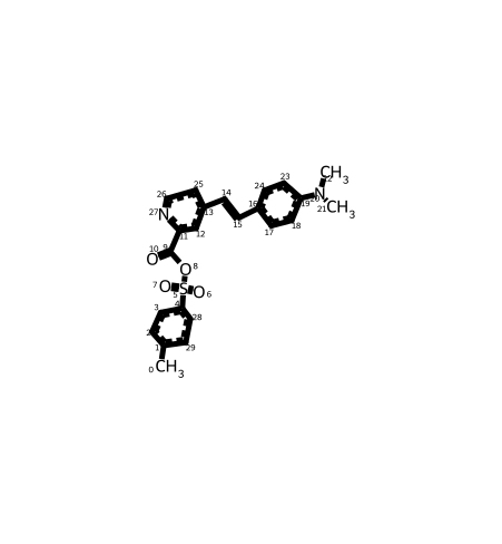 Cc1ccc(S(=O)(=O)OC(=O)c2cc(C=Cc3ccc(N(C)C)cc3)ccn2)cc1